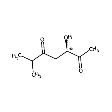 CC(=O)[C@H](O)CC(=O)C(C)C